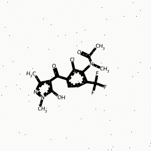 CC(=O)N(C)c1c(C(F)(F)F)ccc(C(=O)c2c(C)nn(C)c2O)c1Cl